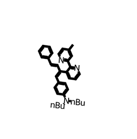 CCCCN(CCCC)c1ccc(C=C(C=Cc2ccccc2)c2cccnc2-c2cc(C)ccn2)cc1